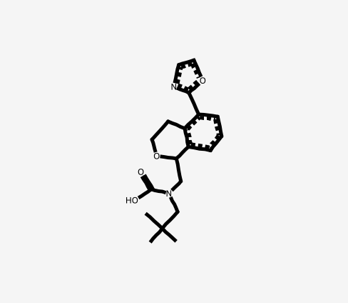 CC(C)(C)CN(CC1OCCc2c(-c3ncco3)cccc21)C(=O)O